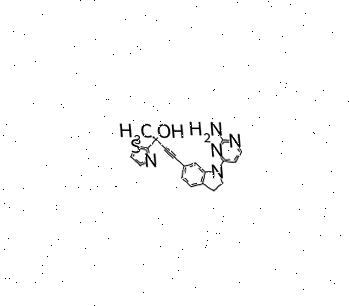 C[C@@](O)(C#Cc1ccc2c(c1)N(c1ccnc(N)n1)CC2)c1nccs1